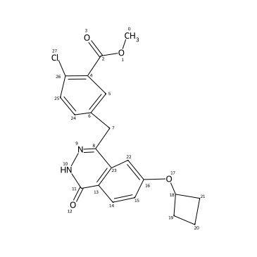 COC(=O)c1cc(Cc2n[nH]c(=O)c3ccc(OC4CCC4)cc23)ccc1Cl